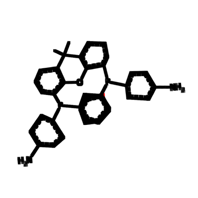 CC1(C)c2cccc(P(c3ccccc3)c3ccc(N)cc3)c2Oc2c(P(c3ccccc3)c3ccc(N)cc3)cccc21